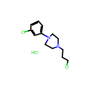 Cl.ClCCCN1CCN(c2cccc(Cl)c2)CC1